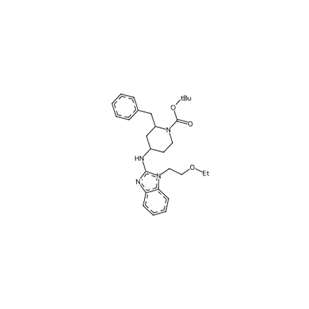 CCOCCn1c(NC2CCN(C(=O)OC(C)(C)C)C(Cc3ccccc3)C2)nc2ccccc21